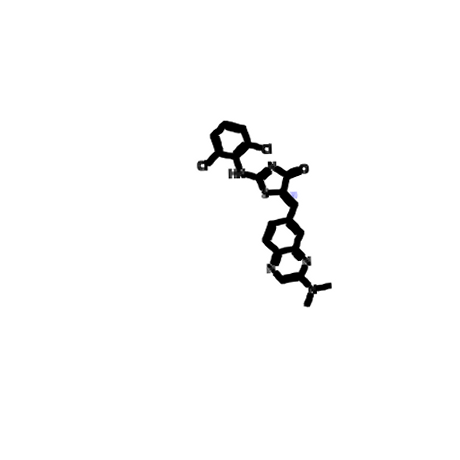 CN(C)c1cnc2ccc(/C=C3\SC(Nc4c(Cl)cccc4Cl)=NC3=O)cc2n1